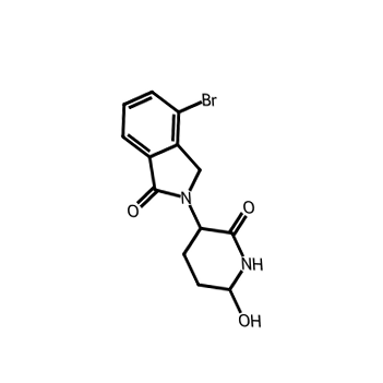 O=C1NC(O)CCC1N1Cc2c(Br)cccc2C1=O